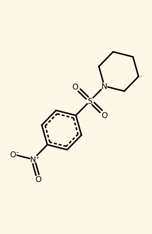 O=[N+]([O-])c1ccc(S(=O)(=O)N2C[CH]CCC2)cc1